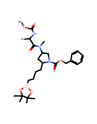 CC(C)C(NC(=O)OC(C)(C)C)C(=O)N(C)C1CC(CCCCB2OC(C)(C)C(C)(C)O2)N(C(=O)OCc2ccccc2)C1